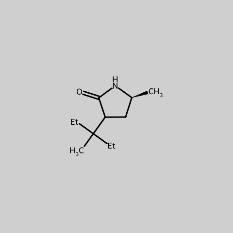 CCC(C)(CC)C1C[C@H](C)NC1=O